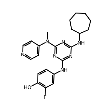 CN(c1ccncc1)c1nc(Nc2ccc(O)c(F)c2)nc(NC2CCCCCC2)n1